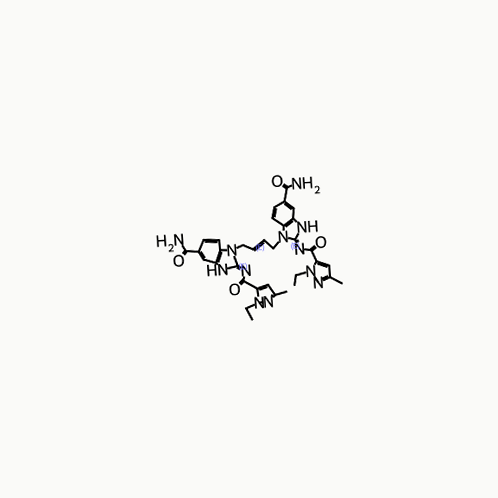 CCn1nc(C)cc1C(=O)/N=c1\[nH]c2cc(C(N)=O)ccc2n1C/C=C/Cn1/c(=N/C(=O)c2cc(C)nn2CC)[nH]c2cc(C(N)=O)ccc21